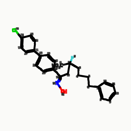 O=C(O)C(F)(CCCCc1ccccc1)C/C(=N\O)c1ccc(-c2ccc(Cl)cc2)cc1